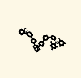 Cc1cc(C)c(B(c2cccc(-c3cccc(-c4ccc(C56CC7CC(C5)CC(c5ccc(-c8ccc9oc%10ccccc%10c9c8)cc5)(C7)C6)cc4)c3)c2)c2c(C)cc(C)cc2C)c(C)c1